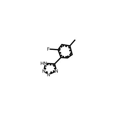 Cc1c[c]c(-c2nnn[nH]2)c(F)c1